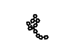 c1ccc(-c2ccc3ccc(-c4ccc(N(c5ccc(-c6ccccc6-c6ccccc6-c6ccccc6)cc5)c5cccc6c5sc5ccccc56)cc4)cc3c2)cc1